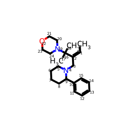 CC=C(CN1CCCCC1c1ccccc1)C(C)(C)N1CCOCC1